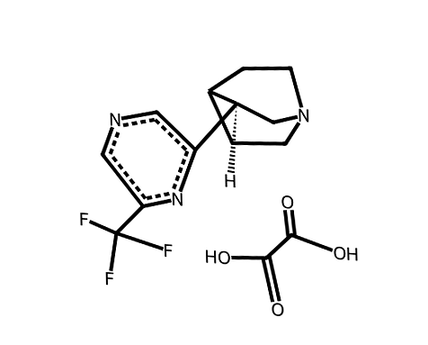 FC(F)(F)c1cncc([C@@H]2CN3CCC2CC3)n1.O=C(O)C(=O)O